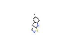 Cc1ccc2nc3sncc3cc2c1